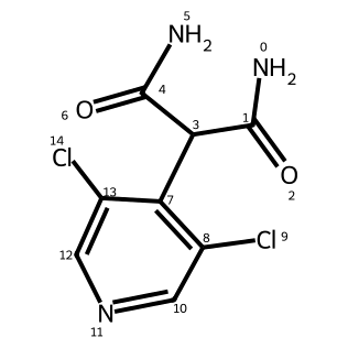 NC(=O)C(C(N)=O)c1c(Cl)cncc1Cl